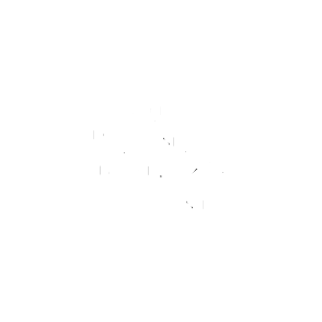 CC(C)(S)C(N)C(=O)O.O=C(O)[C@@H]1CCCN1